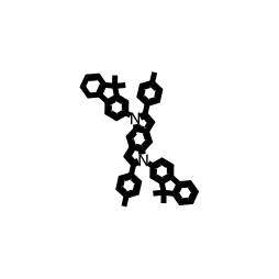 Cc1ccc(-c2cc3cc4c(cc(-c5ccc(C)cc5)n4-c4ccc5c(c4)C(C)(C)c4ccccc4-5)cc3n2-c2ccc3c(c2)C(C)(C)C2=C3CCC=C2)cc1